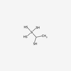 CC(S)[Si](S)(S)S